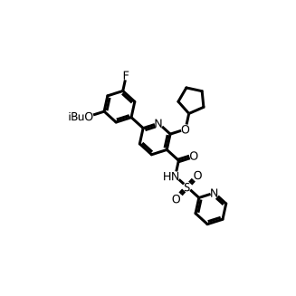 CC(C)COc1cc(F)cc(-c2ccc(C(=O)NS(=O)(=O)c3ccccn3)c(OC3CCCC3)n2)c1